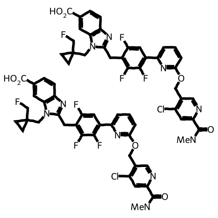 CNC(=O)c1cc(Cl)c(COc2cccc(-c3cc(F)c(Cc4nc5ccc(C(=O)O)cc5n4CC4(CF)CC4)c(F)c3F)n2)cn1.CNC(=O)c1cc(Cl)c(COc2cccc(-c3cc(F)c(Cc4nc5ccc(C(=O)O)cc5n4CC4(CF)CC4)c(F)c3F)n2)cn1